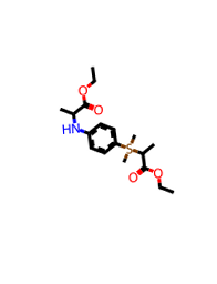 CCOC(=O)C(C)Nc1ccc(S(C)(C)C(C)C(=O)OCC)cc1